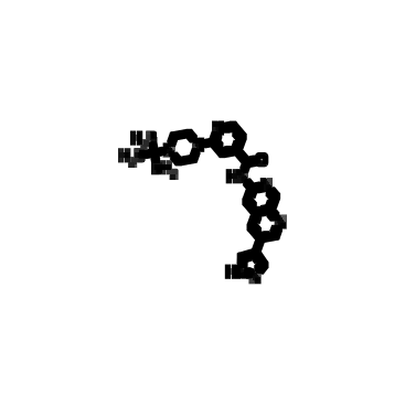 BC(B)(B)N1CCN(c2cc(C(=O)Nc3cc4cc(-c5cn[nH]c5)cnc4cn3)ccn2)CC1